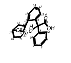 O=C(O)C(O)(c1ccccc1)c1ccccc1C1CC2CCN1CC2